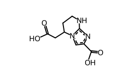 O=C(O)CC1CCNc2nc(C(=O)O)cn21